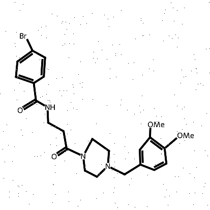 COc1ccc(CN2CCN(C(=O)CCNC(=O)c3ccc(Br)cc3)CC2)cc1OC